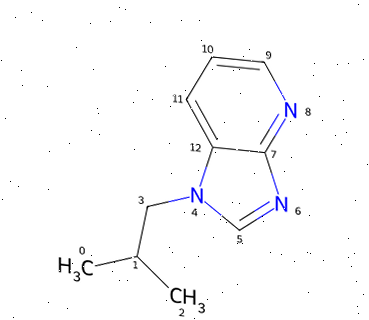 CC(C)Cn1cnc2ncccc21